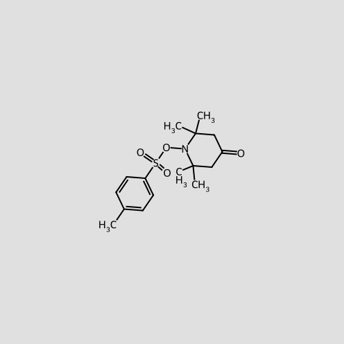 Cc1ccc(S(=O)(=O)ON2C(C)(C)CC(=O)CC2(C)C)cc1